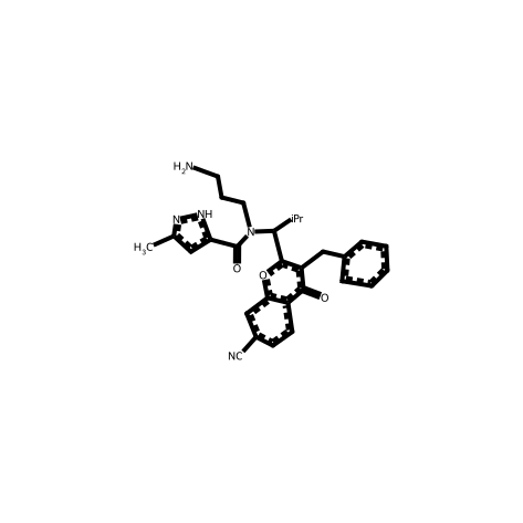 Cc1cc(C(=O)N(CCCN)C(c2oc3cc(C#N)ccc3c(=O)c2Cc2ccccc2)C(C)C)[nH]n1